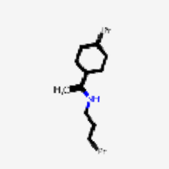 C=C(NCCCC(C)C)C1CCC(C(C)C)CC1